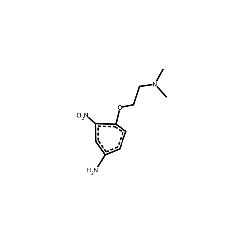 CN(C)CCOc1ccc(N)cc1[N+](=O)[O-]